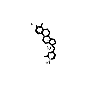 Cc1c(C#N)ccc2c1CCC1C2CC[C@@]2(C)C1CC[C@@]2(O)CC1=CC(C)N(O)C=C1